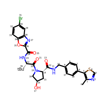 Cc1ncsc1-c1ccc(CNC(=O)[C@@H]2C[C@@H](O)CN2C(=O)[C@@H](NC(=O)c2nc3cc(Br)ccc3o2)C(C)(C)C)cc1